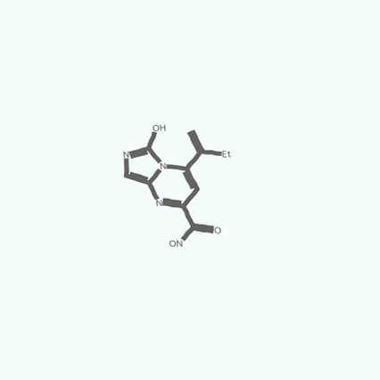 C=C(CC)c1cc(C(=O)N=O)nc2cnc(O)n12